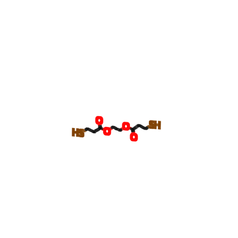 O=C(CCS)OCCOC(=O)CCS